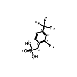 O=P(O)(O)Cc1ccc(C(F)(F)F)cc1F